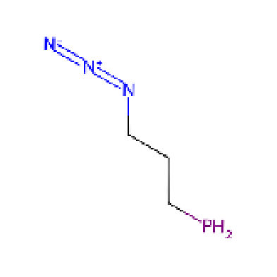 [N-]=[N+]=NCCCP